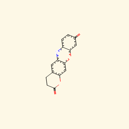 O=C1CCc2cc3nc4ccc(=O)cc-4oc3cc2O1